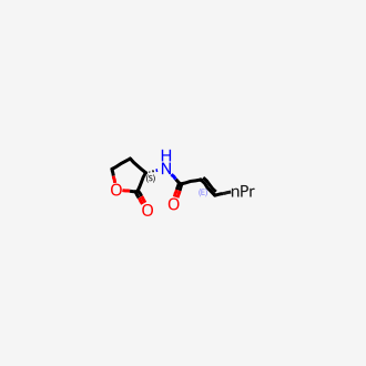 CCC/C=C/C(=O)N[C@H]1CCOC1=O